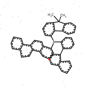 CC1(C)c2ccccc2-c2c(N(c3ccccc3-c3cccc4ccccc34)c3cccc4c3ccc3c5ccccc5ccc43)cccc21